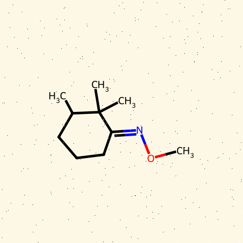 CO/N=C1\CCCC(C)C1(C)C